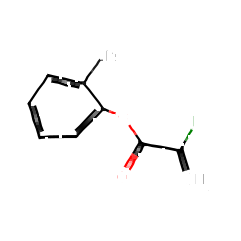 C=C(F)C(=O)Oc1ccccc1C(C)C